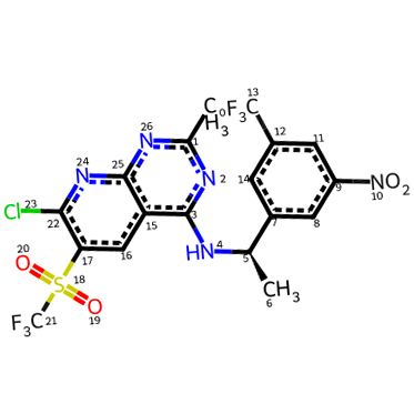 Cc1nc(N[C@H](C)c2cc([N+](=O)[O-])cc(C(F)(F)F)c2)c2cc(S(=O)(=O)C(F)(F)F)c(Cl)nc2n1